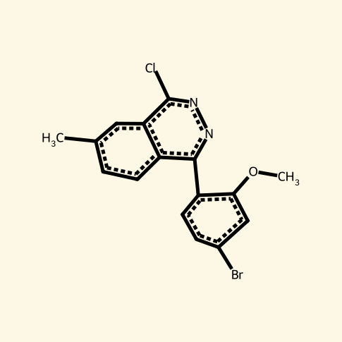 COc1cc(Br)ccc1-c1nnc(Cl)c2cc(C)ccc12